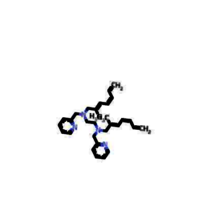 C=C/C=C\C=C(/C)CN(CCN(C/C(C)=C/C=C\C=C)Cc1ccccn1)Cc1ccccn1